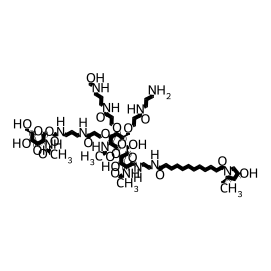 CC[C@@H]1C[C@@H](O)CN1C(=O)CCCCCCCCCCC(=O)NCCN[C@@H]1O[C@H](CO)[C@@H](O[C@@H]2O[C@H](COCCC(=O)NCCCN)[C@@H](OCCC(=O)NCCCNCO)[C@H](OCCC(=O)NCCCNC(=O)O[C@@H]3O[C@H](CO)[C@H](O)[C@H](O)[C@H]3NC(C)=O)[C@H]2NC(C)=O)[C@H](O)[C@H]1NC(C)=O